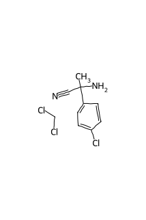 CC(N)(C#N)c1ccc(Cl)cc1.ClCCl